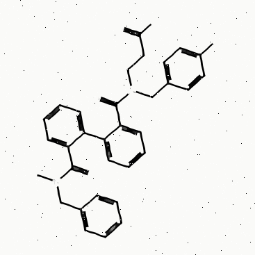 CN(Cc1ccccc1)C(=O)c1ccccc1-c1ccccc1C(=O)N(CCC(=O)O)Cc1ccc(F)cc1